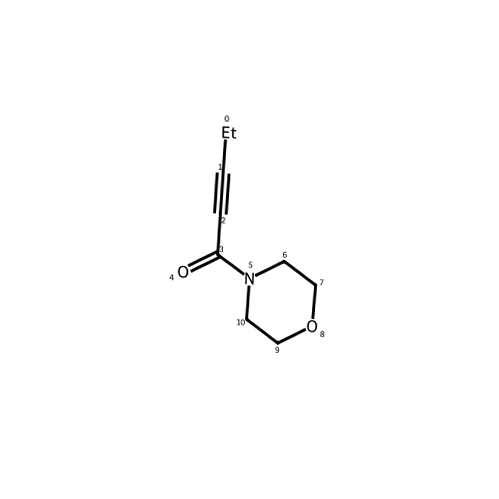 CCC#CC(=O)N1CCOCC1